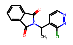 CC(c1ccnnc1Cl)N1C(=O)c2ccccc2C1=O